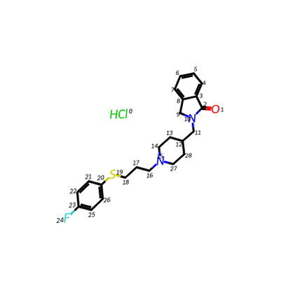 Cl.O=C1c2ccccc2CN1CC1CCN(CCCSc2ccc(F)cc2)CC1